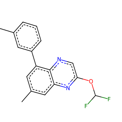 Cc1cccc(-c2cc(C)cc3nc(OC(F)F)cnc23)c1